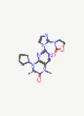 C[C@@H]1C(=O)N(C)c2cnc(-n3ccnc3N3CCOC3=O)nc2N1C1CCCC1